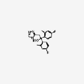 Cc1cc(F)ccc1C(O)(Cc1nnnn1C)c1ccc(F)cc1C